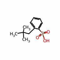 CC(C)(C)Cc1ccccc1S(=O)(=O)O